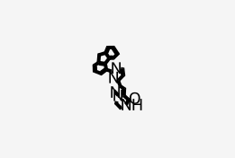 O=C1NCCn2nc(-c3ccnc(-c4cccc5c4-c4ccccc4C5)n3)cc21